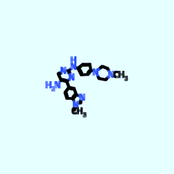 CN1CCN(c2ccc(Nc3ncc(N)c(-c4ccc5c(c4)ncn5C)n3)cc2)CC1